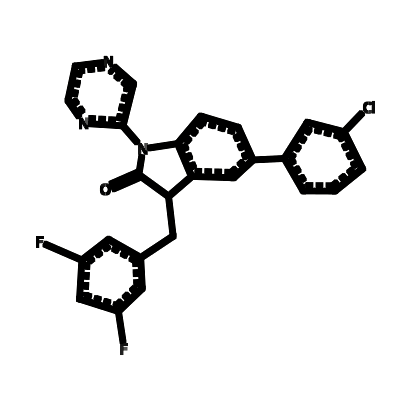 O=C1C(Cc2cc(F)cc(F)c2)c2cc(-c3cccc(Cl)c3)ccc2N1c1cnccn1